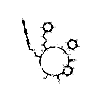 C#CC#CC#CCSCC1COC[C@H](C)OC(=O)c2cccc(n2)C(=O)O[C@@H](c2ccccc2)COCC(CSCc2ccccc2)O1